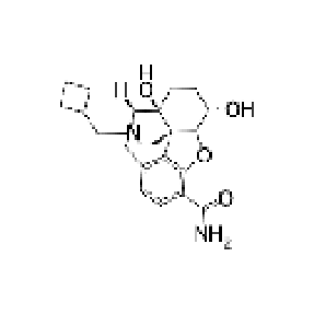 NC(=O)c1ccc2c3c1OC1[C@@H](O)CC[C@@]4(O)[C@@H](C2)N(CC2CCC2)CC[C@]314